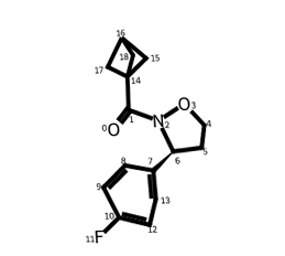 O=C(N1OCC[C@H]1c1ccc(F)cc1)C12CC(C1)C2